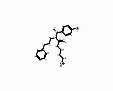 C[C@@H](c1ccc(Br)cc1)N(CCCc1ccccc1)C(=O)CCCCO